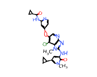 Cn1cc(C2CC2)cc(Nc2nc3ncc(Oc4ccnc(NC(=O)C5CC5)c4)c(Cl)c3n2C)c1=O